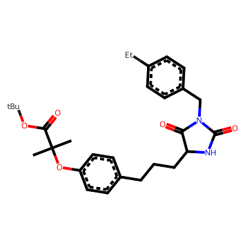 CCc1ccc(CN2C(=O)NC(CCCc3ccc(OC(C)(C)C(=O)OC(C)(C)C)cc3)C2=O)cc1